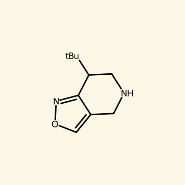 CC(C)(C)C1CNCc2conc21